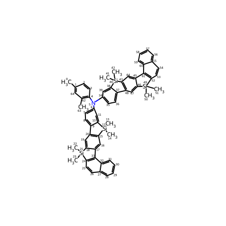 Cc1ccc(N(c2ccc3c(c2)[Si](C)(C)c2cc4c(cc2-3)[Si](C)(C)c2ccc3ccccc3c2-4)c2ccc3c(c2)[Si](C)(C)c2cc4c(cc2-3)[Si](C)(C)c2ccc3ccccc3c2-4)c(C)c1